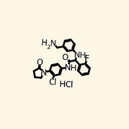 Cl.NCc1cccc(NC(C(=O)Nc2ccc(N3CCCC3=O)c(Cl)c2)c2ccccc2F)c1